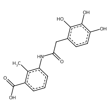 Cc1c(NC(=O)Cc2ccc(O)c(O)c2O)cccc1C(=O)O